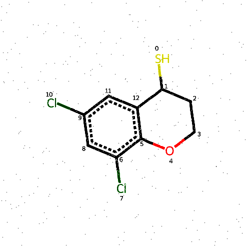 SC1CCOc2c(Cl)cc(Cl)cc21